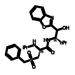 CCC[C@H](NC(=O)[C@H](CS(=O)(=O)Cc1ccccc1)NC(C)C)C(O)c1nc2ccccc2o1